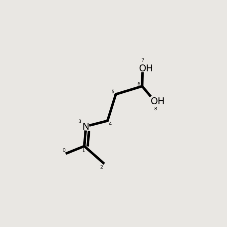 CC(C)=NCCC(O)O